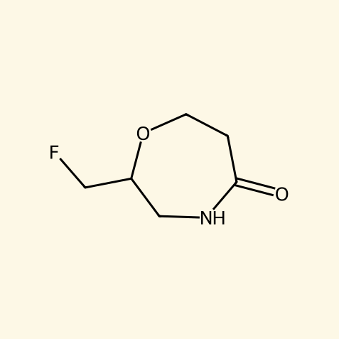 O=C1CCOC(CF)CN1